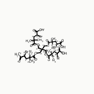 CC(=O)C(Br)CC(C)(C)C(=O)OCC(COC(=O)C(C)(C)CC(Br)C(=O)O)(COC(=O)C(C)(C)CC(Br)C(=O)O)COC(=O)C(C)(C)CC(Br)C(=O)O